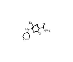 CCc1nc(C(=O)NC)c(Cl)nc1NC1CCOCC1